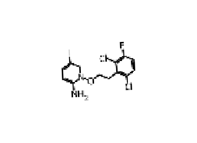 NC1=CC=C(I)CN1OCCc1c(Cl)ccc(F)c1Cl